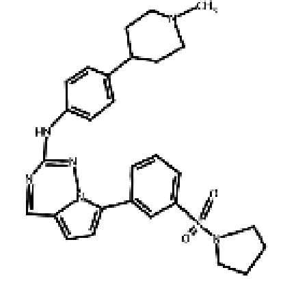 CN1CCC(c2ccc(Nc3ncc4ccc(-c5cccc(S(=O)(=O)N6CCCC6)c5)n4n3)cc2)CC1